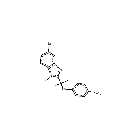 Cn1c(C(C)(C)Oc2ccc(C(F)(F)F)cc2)nc2cc(N)ccc21